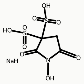 O=C1CC(S(=O)(=O)O)(S(=O)(=O)O)C(=O)N1O.[NaH]